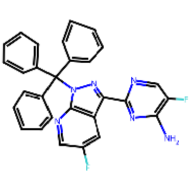 Nc1nc(-c2nn(C(c3ccccc3)(c3ccccc3)c3ccccc3)c3ncc(F)cc23)ncc1F